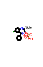 CNC1=Nc2ccc(Cl)cc2C(c2ccccc2)=[N+](O)C1.O=S(O)S(=O)O